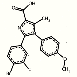 COc1ccc(-n2c(-c3ccc(Br)c(F)c3)nc(C(=O)O)c2C)cc1